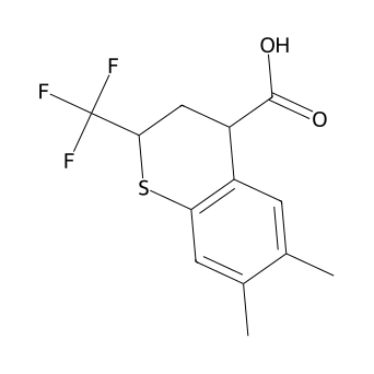 Cc1cc2c(cc1C)C(C(=O)O)CC(C(F)(F)F)S2